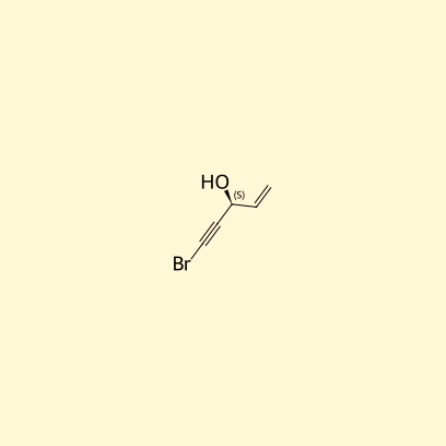 C=C[C@H](O)C#CBr